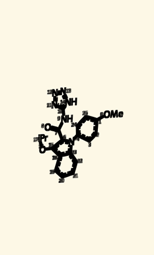 COc1ccc(-n2c(C(=O)Nc3nnn[nH]3)c(OC(C)C)c3ccccc32)cc1